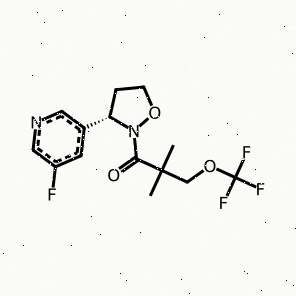 CC(C)(COC(F)(F)F)C(=O)N1OCC[C@H]1c1cncc(F)c1